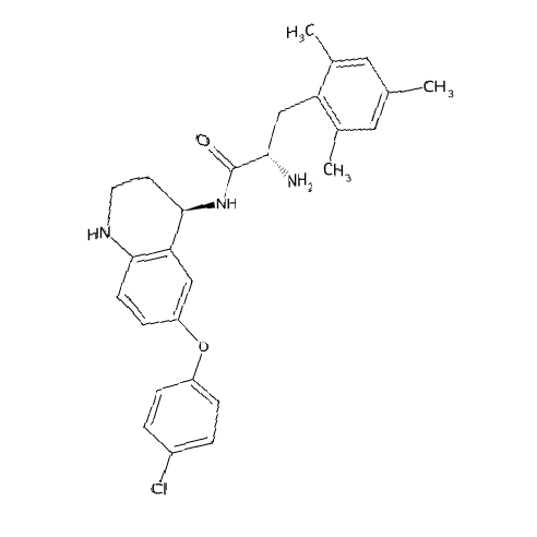 Cc1cc(C)c(C[C@H](N)C(=O)N[C@@H]2CCNc3ccc(Oc4ccc(Cl)cc4)cc32)c(C)c1